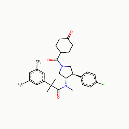 CN(C(=O)C(C)(C)c1cc(C(F)(F)F)cc(C(F)(F)F)c1)[C@@H]1CN(C(=O)C2CCC(=O)CC2)C[C@H]1c1ccc(F)cc1